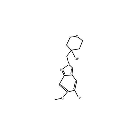 COc1cc2nn(CC3(O)CCOCC3)cc2cc1Br